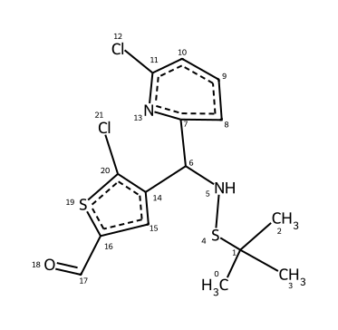 CC(C)(C)SNC(c1cccc(Cl)n1)c1cc(C=O)sc1Cl